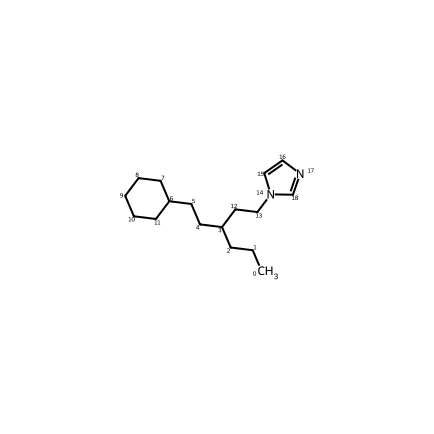 CCCC(CCC1CCCCC1)CCn1ccnc1